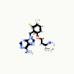 Nc1ncnc2c1ncn2Cc1c(OCC[C@H](N)C(=O)O)ccc(F)c1F